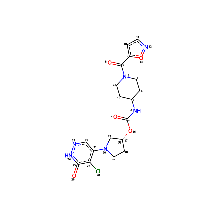 O=C(NC1CCN(C(=O)c2ccno2)CC1)O[C@@H]1CCN(c2cn[nH]c(=O)c2Cl)C1